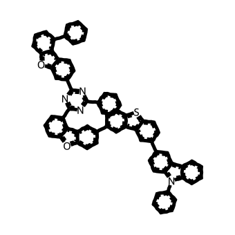 c1ccc(-c2nc(-c3ccc4c(c3)oc3cccc(-c5ccccc5)c34)nc(-c3cccc4oc5ccc(-c6ccc7sc8ccc(-c9ccc%10c(c9)c9ccccc9n%10-c9ccccc9)cc8c7c6)cc5c34)n2)cc1